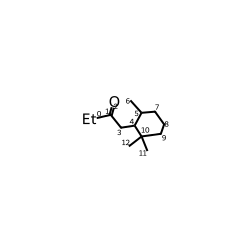 CCC(=O)CC1C(C)CCCC1(C)C